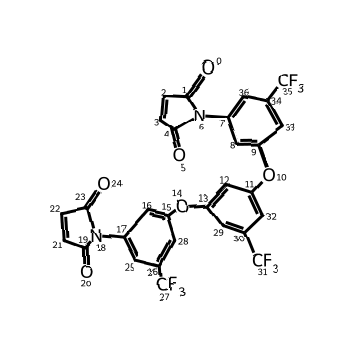 O=C1C=CC(=O)N1c1cc(Oc2cc(Oc3cc(N4C(=O)C=CC4=O)cc(C(F)(F)F)c3)cc(C(F)(F)F)c2)cc(C(F)(F)F)c1